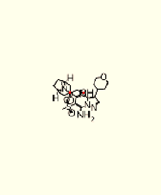 CS(=O)(=O)c1c([C@H]2C[C@H]3CC[C@@H](C2)N3C(=O)CO)nc2c(C3CCOCC3)cnn2c1N